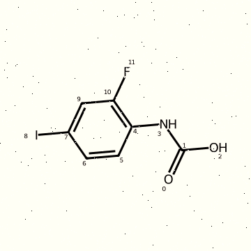 O=C(O)Nc1ccc(I)cc1F